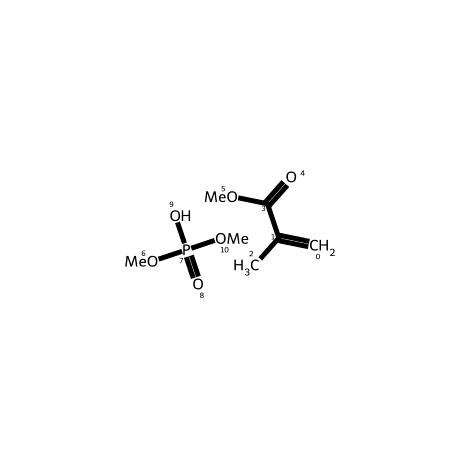 C=C(C)C(=O)OC.COP(=O)(O)OC